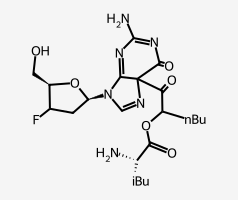 CCCCC(OC(=O)[C@@H](N)[C@@H](C)CC)C(=O)C12N=CN([C@H]3CC(F)[C@@H](CO)O3)C1=NC(N)=NC2=O